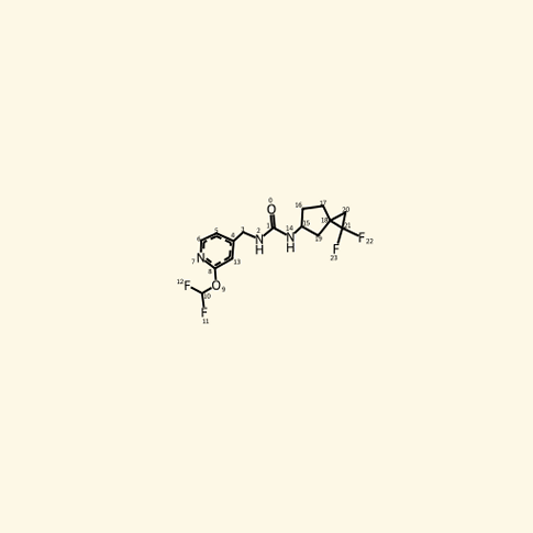 O=C(NCc1ccnc(OC(F)F)c1)NC1CCC2(C1)CC2(F)F